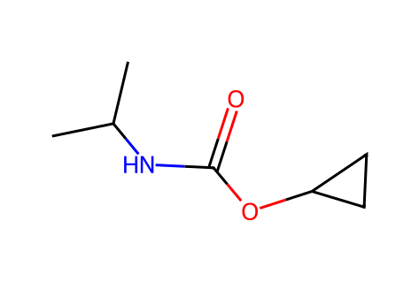 CC(C)NC(=O)OC1CC1